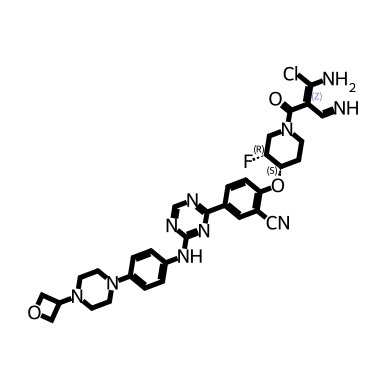 N#Cc1cc(-c2ncnc(Nc3ccc(N4CCN(C5COC5)CC4)cc3)n2)ccc1O[C@H]1CCN(C(=O)/C(C=N)=C(/N)Cl)C[C@H]1F